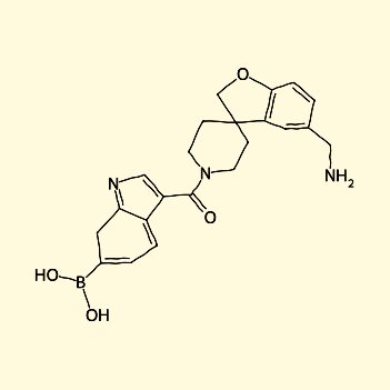 NCc1ccc2c(c1)C1(CCN(C(=O)C3=CN=C4CC(B(O)O)=CC=C34)CC1)CO2